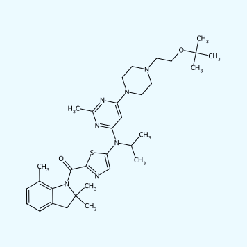 Cc1nc(N2CCN(CCOC(C)(C)C)CC2)cc(N(c2cnc(C(=O)N3c4c(C)cccc4CC3(C)C)s2)C(C)C)n1